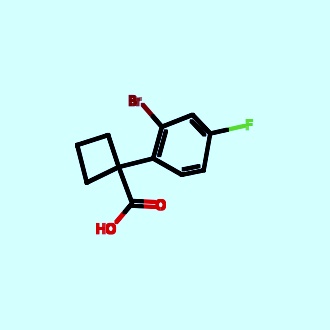 O=C(O)C1(c2ccc(F)cc2Br)CCC1